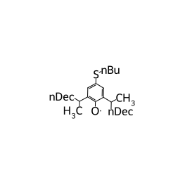 CCCCCCCCCCC(C)c1cc(SCCCC)cc(C(C)CCCCCCCCCC)c1[O]